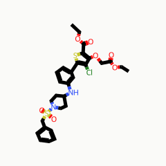 CCOC(=O)COc1c(C(=O)OCC)sc(-c2cccc(NC3CCN(S(=O)(=O)Cc4ccccc4)CC3)c2)c1Cl